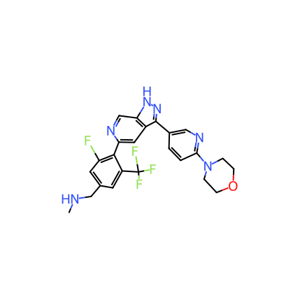 CNCc1cc(F)c(-c2cc3c(-c4ccc(N5CCOCC5)nc4)n[nH]c3cn2)c(C(F)(F)F)c1